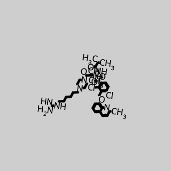 Cc1ccc2cccc(OCc3c(Cl)ccc(S(=O)(=O)N(NC(=O)C(C)C)C(C)(C)C(=O)N4CCN(CCCCCCNC(=N)N)CC4)c3Cl)c2n1